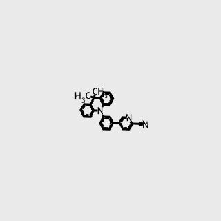 CC1(C)c2ccccc2N(c2cccc(-c3ccc(C#N)nc3)c2)c2ccccc21